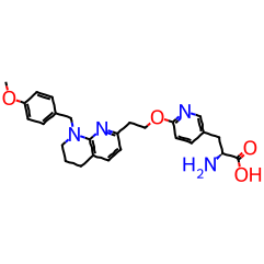 COc1ccc(CN2CCCc3ccc(CCOc4ccc(C[C@H](N)C(=O)O)cn4)nc32)cc1